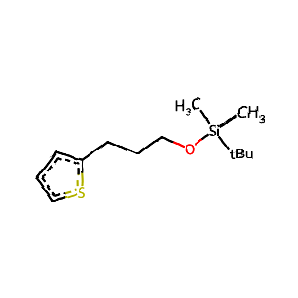 CC(C)(C)[Si](C)(C)OCCCc1cccs1